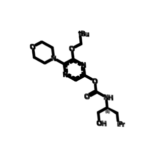 CC(C)C[C@@H](CO)NC(=O)Oc1cnc(N2CCOCC2)c(OCC(C)(C)C)n1